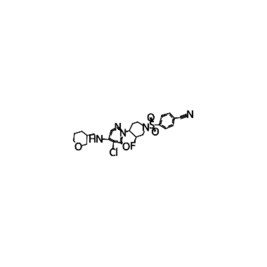 N#Cc1ccc(S(=O)(=O)N2CC[C@H](n3ncc(NC[C@@H]4CCCOC4)c(Cl)c3=O)[C@H](F)C2)cc1